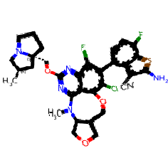 C[C@H]1CN2CCC[C@@]2(COc2nc3c4c(c(Cl)c(-c5ccc(F)c6sc(N)c(C#N)c56)c(F)c4n2)OCC2COCC2N3C)C1